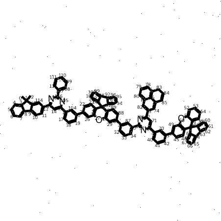 CC1(C)c2ccccc2-c2ccc(-c3cc(-c4cccc(-c5ccc6c(c5)Oc5cc(-c7cccc(-c8nc(-c9cccc(-c%10ccc%11c(c%10)Oc%10ccccc%10C%11%10c%11ccccc%11-c%11ccccc%11%10)c9)cc(-c9cc%10c%11c(cccc%11c9)CC=C%10)n8)c7)ccc5C65c6ccccc6-c6ccccc65)c4)nc(-c4ccccc4)n3)cc21